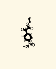 CCOC(=O)C(=O)c1ccc([N+](=O)O)cc1